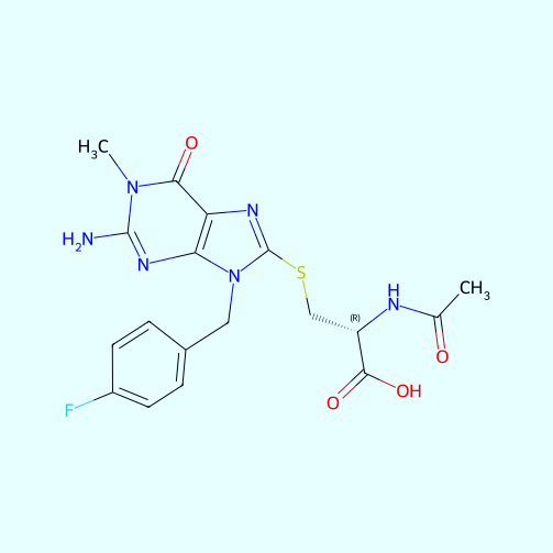 CC(=O)N[C@@H](CSc1nc2c(=O)n(C)c(N)nc2n1Cc1ccc(F)cc1)C(=O)O